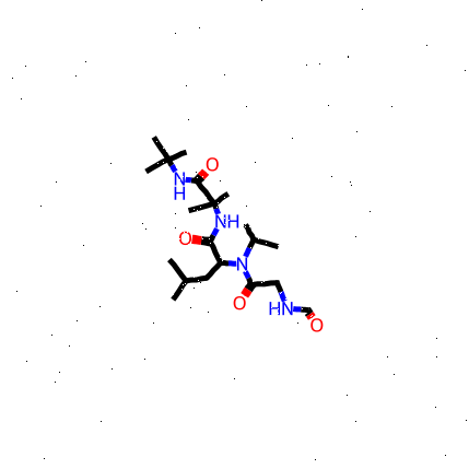 CC(C)CC(C(=O)NC(C)(C)C(=O)NC(C)(C)C)N(C(=O)CNC=O)C(C)C